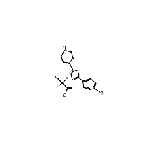 Clc1ccc(-c2nnc(C3CCNCC3)o2)cc1.O=C(O)C(F)(F)F